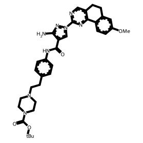 COc1ccc2c(c1)CCc1cnc(-n3cc(C(=O)Nc4ccc(CCN5CCN(C(=O)OC(C)(C)C)CC5)cc4)c(N)n3)nc1-2